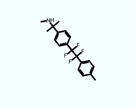 CNC(C)(C)c1ccc(C(F)(F)C(F)(F)c2ccc(C)cc2)cc1